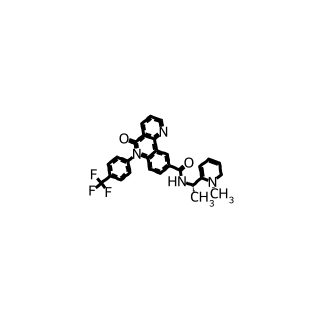 C[C@H](NC(=O)c1ccc2c(c1)c1ncccc1c(=O)n2-c1ccc(C(F)(F)F)cc1)C1=CC=CCN1C